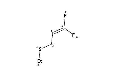 [CH2]CSCC=C(F)F